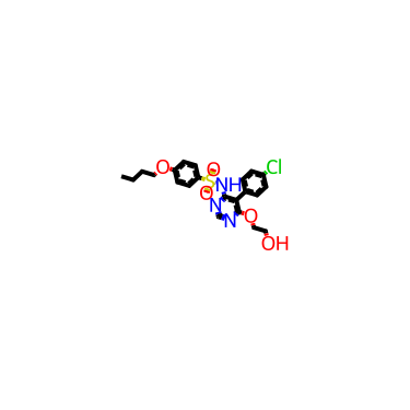 CCCCOc1ccc(S(=O)(=O)Nc2ncnc(OCCO)c2-c2ccc(Cl)cc2)cc1